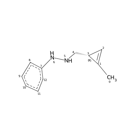 CC1=C[C@H]1CNNc1ccccc1